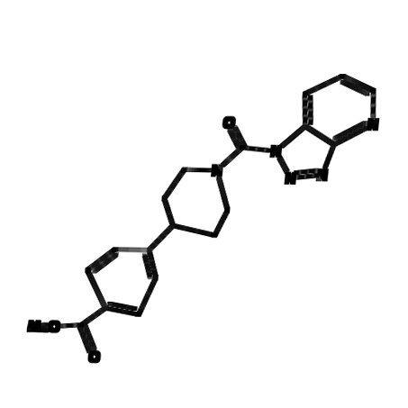 COC(=O)c1ccc(C2CCN(C(=O)n3nnc4ncccc43)CC2)cc1